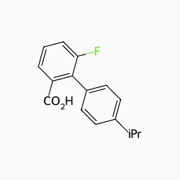 CC(C)c1ccc(-c2c(F)cccc2C(=O)O)cc1